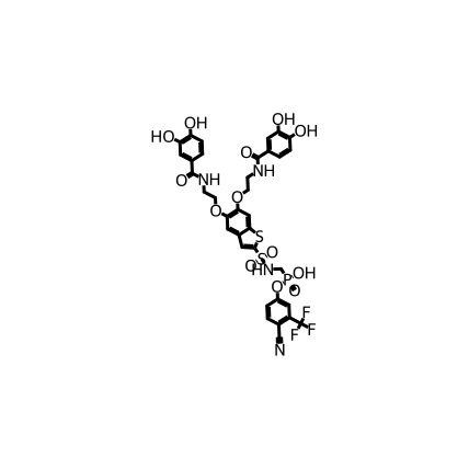 N#Cc1ccc(OP(=O)(O)CNS(=O)(=O)c2cc3cc(OCCNC(=O)c4ccc(O)c(O)c4)c(OCCNC(=O)c4ccc(O)c(O)c4)cc3s2)cc1C(F)(F)F